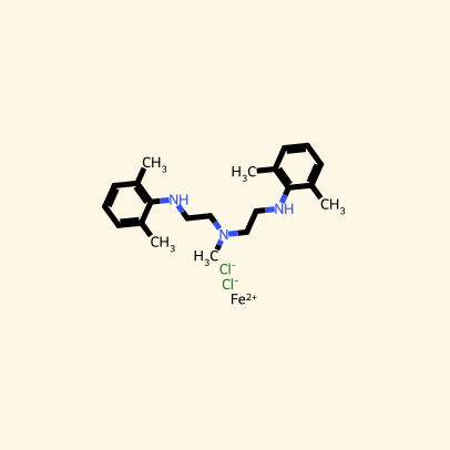 Cc1cccc(C)c1NCCN(C)CCNc1c(C)cccc1C.[Cl-].[Cl-].[Fe+2]